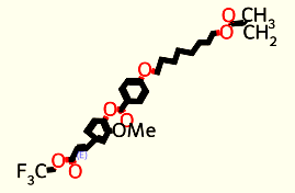 C=C(C)C(=O)OCCCCCCCCOc1ccc(C(=O)Oc2ccc(/C=C/C(=O)OCC(F)(F)F)cc2OC)cc1